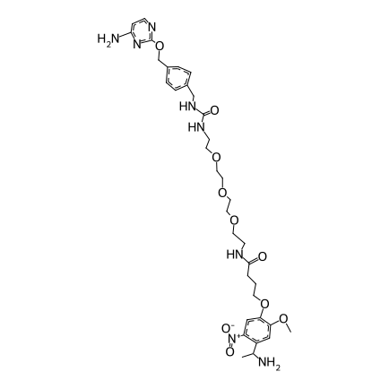 COc1cc(C(C)N)c([N+](=O)[O-])cc1OCCCC(=O)NCCOCCOCCOCCNC(=O)NCc1ccc(COc2nccc(N)n2)cc1